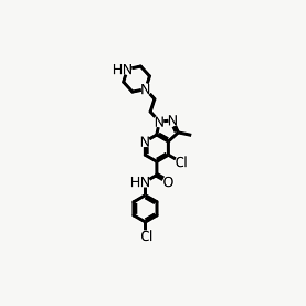 Cc1nn(CCN2CCNCC2)c2ncc(C(=O)Nc3ccc(Cl)cc3)c(Cl)c12